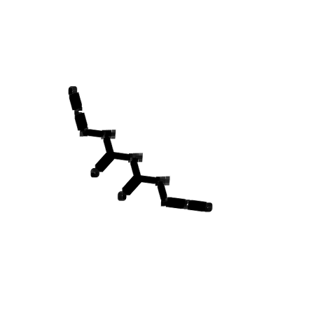 O=C=NNC(=O)NC(=O)NN=C=O